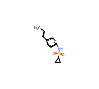 C/C=C/c1ccc(NS(=O)(=O)C2CC2)cc1